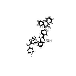 CN1CCC(N(C)C(=O)C=C2c3ccccc3N(C(=O)c3ccc(NC(=O)c4ccccc4-c4ccccc4)cc3)CCC2(F)F)CC1.Cl